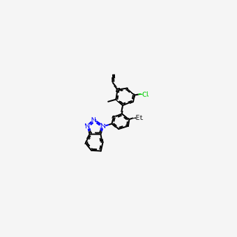 C=Cc1cc(Cl)cc(-c2cc(-n3nnc4ccccc43)ccc2CC)c1C